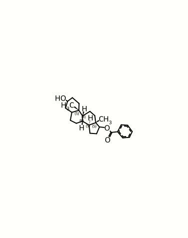 C[C@]12CCC(O)CC1CC[C@@H]1[C@H]2CC[C@]2(C)C(OC(=O)c3ccccc3)CC[C@@H]12